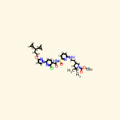 CC(C)(C)OC(=O)N1CC(CCNc2cccc([S+]([O-])NC(=O)c3ccc(-n4ccc(OCCC(C5CC5)C5CC5)n4)nc3Cl)n2)CC1(C)C